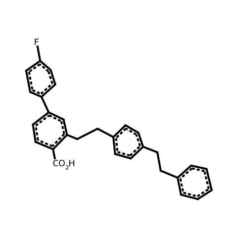 O=C(O)c1ccc(-c2ccc(F)cc2)cc1CCc1ccc(CCc2ccccc2)cc1